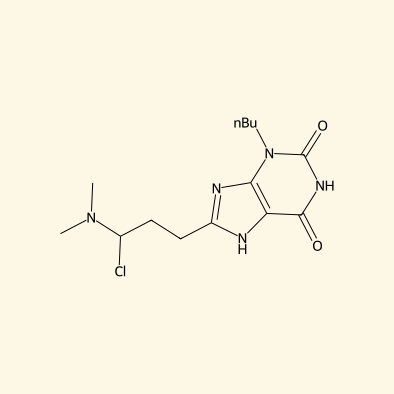 CCCCn1c(=O)[nH]c(=O)c2[nH]c(CCC(Cl)N(C)C)nc21